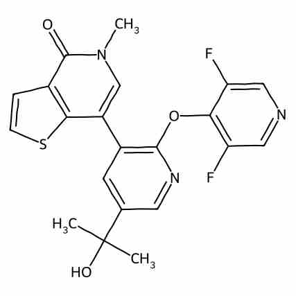 Cn1cc(-c2cc(C(C)(C)O)cnc2Oc2c(F)cncc2F)c2sccc2c1=O